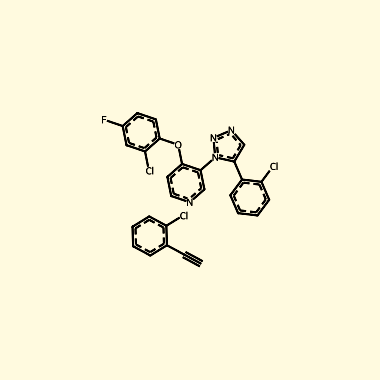 C#Cc1ccccc1Cl.Fc1ccc(Oc2ccncc2-n2nncc2-c2ccccc2Cl)c(Cl)c1